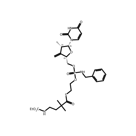 C=C1[C@@H](COP(=O)(NCc2ccccc2)OCCSC(=O)C(C)(C)CCNC(=O)OCC)O[C@@H](n2ccc(=O)[nH]c2=O)[C@H]1C